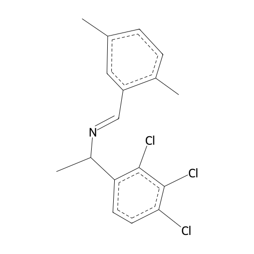 Cc1ccc(C)c(C=NC(C)c2ccc(Cl)c(Cl)c2Cl)c1